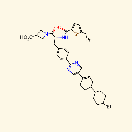 CCC1CCC(C2CC=C(c3cnc(-c4ccc(CC(NC(=O)c5ccc(CC(C)C)s5)C(=O)N5CC(C(=O)O)C5)cc4)nc3)CC2)CC1